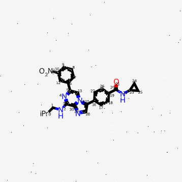 CC(C)CNc1nc(-c2cccc([N+](=O)[O-])c2)cn2c(-c3ccc(C(=O)NC4CC4)cc3)cnc12